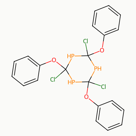 ClC1(Oc2ccccc2)PC(Cl)(Oc2ccccc2)PC(Cl)(Oc2ccccc2)P1